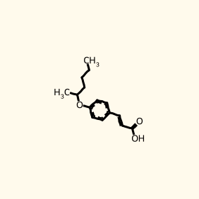 CCCCC(C)Oc1ccc(/C=C/C(=O)O)cc1